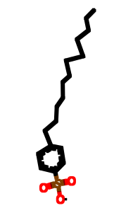 CCCCCCCCCCCCc1ccc(S([O])(=O)=O)cc1